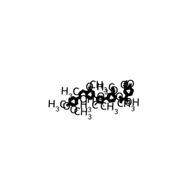 COc1cc([C@H]2OC(c3ccc(OC(C)C(O)c4ccc5c(c4)OCO5)c(OC)c3)[C@H](C)[C@H]2C)ccc1CC(C)C(O)c1ccc(OC)c(OC)c1